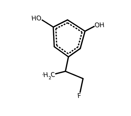 [CH2]C(CF)c1cc(O)cc(O)c1